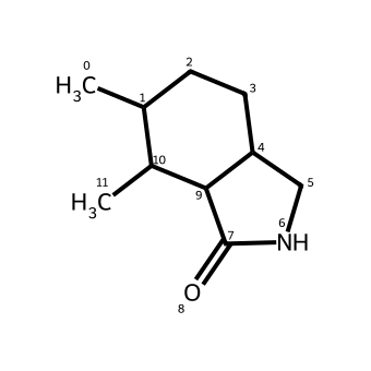 CC1CCC2CNC(=O)C2C1C